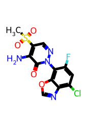 CS(=O)(=O)c1cnn(-c2c(F)cc(Cl)c3ncoc23)c(=O)c1N